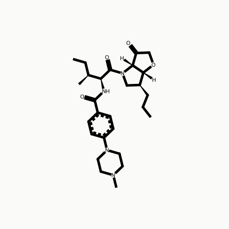 CCC[C@H]1CN(C(=O)[C@@H](NC(=O)c2ccc(N3CCN(C)CC3)cc2)[C@@H](C)CC)[C@@H]2C(=O)CO[C@H]12